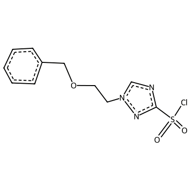 O=S(=O)(Cl)c1ncn(CCOCc2ccccc2)n1